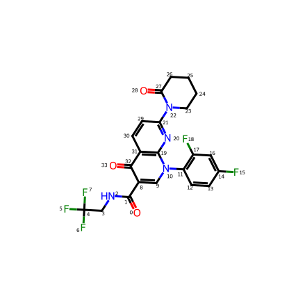 O=C(NCC(F)(F)F)c1cn(-c2ccc(F)cc2F)c2nc(N3CCCCC3=O)ccc2c1=O